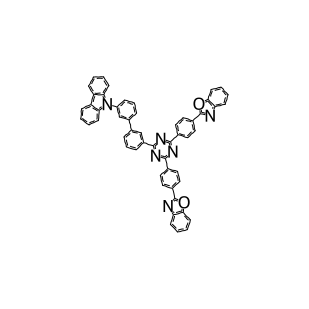 c1cc(-c2cccc(-n3c4ccccc4c4ccccc43)c2)cc(-c2nc(-c3ccc(-c4nc5ccccc5o4)cc3)nc(-c3ccc(-c4nc5ccccc5o4)cc3)n2)c1